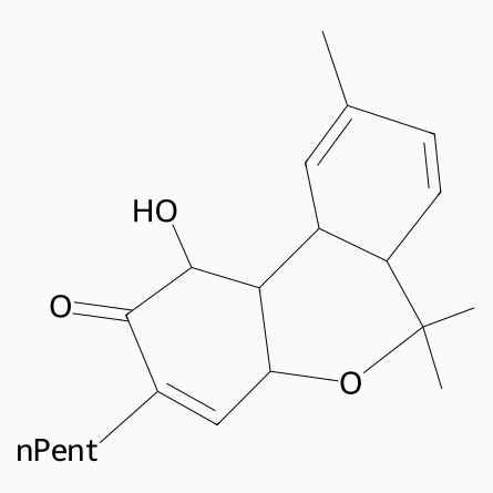 CCCCCC1=CC2OC(C)(C)C3C=CC(C)=CC3C2C(O)C1=O